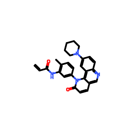 C=CC(=O)Nc1cc(-n2c(=O)ccc3cnc4ccc(N5CCCCC5)cc4c32)ccc1C